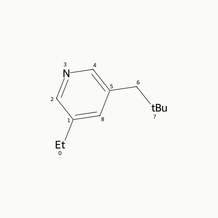 CCc1cncc(CC(C)(C)C)c1